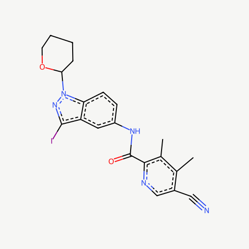 Cc1c(C#N)cnc(C(=O)Nc2ccc3c(c2)c(I)nn3C2CCCCO2)c1C